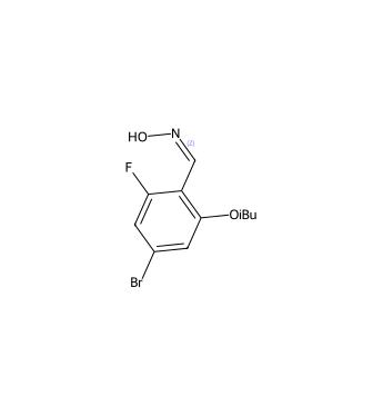 CC(C)COc1cc(Br)cc(F)c1/C=N\O